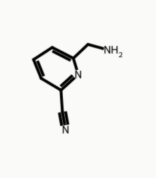 N#Cc1cccc(CN)n1